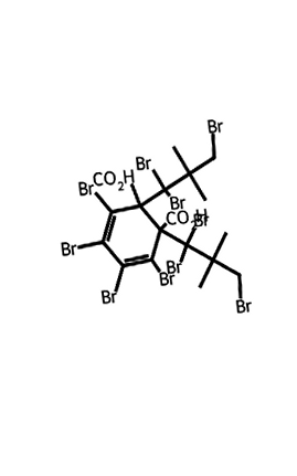 CC(C)(CBr)C(Br)(Br)C1(C(=O)O)C(Br)=C(Br)C(Br)=C(Br)C1(C(=O)O)C(Br)(Br)C(C)(C)CBr